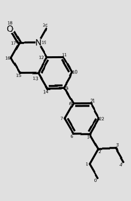 CCC(CC)c1ccc(-c2ccc3c(c2)CCC(=O)N3C)cc1